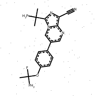 CC(F)(P)Oc1ccc(-c2cnc3c(C#N)nc(C(C)(C)P)n3c2)cc1